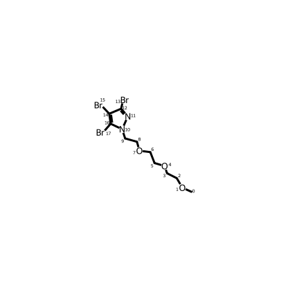 COCCOCCOCCn1nc(Br)c(Br)c1Br